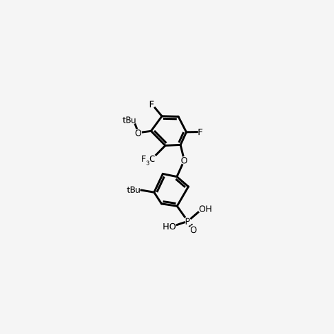 CC(C)(C)Oc1c(F)cc(F)c(Oc2cc(C(C)(C)C)cc(P(=O)(O)O)c2)c1C(F)(F)F